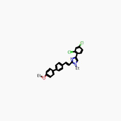 CCOc1ccc(-c2ccc(C=Cc3nc(-c4ccc(Cl)cc4Cl)cn3CC)cc2)cc1